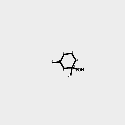 CC1CCCC(O)(F)C1